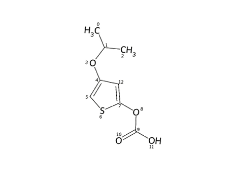 CC(C)Oc1csc(OC(=O)O)c1